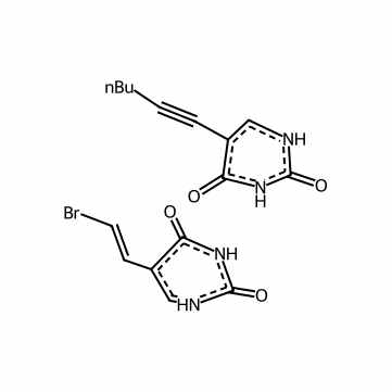 CCCCC#Cc1c[nH]c(=O)[nH]c1=O.O=c1[nH]cc(/C=C/Br)c(=O)[nH]1